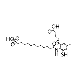 Cc1cc(S)c(NC(=O)CCCCCCCCCCCS(=O)(=O)O)c(SCCCC(=O)O)c1